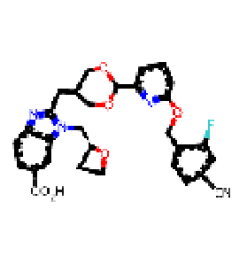 N#Cc1ccc(COc2cccc(C3OCC(Cc4nc5ccc(C(=O)O)cc5n4C[C@@H]4CCO4)CO3)n2)c(F)c1